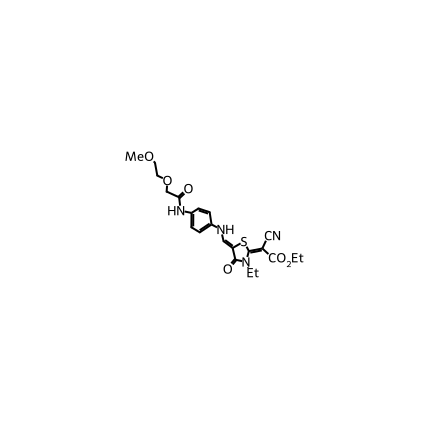 CCOC(=O)C(C#N)=c1sc(=CNc2ccc(NC(=O)COCCOC)cc2)c(=O)n1CC